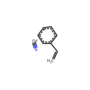 C#N.C=Cc1ccccc1